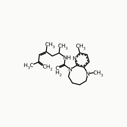 C=C(C)/C=C(/C)CC(C)NC(=C)N1CCCCN(C)c2ccc(C)nc21